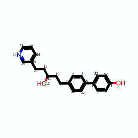 Oc1ccc(-c2ccc(CCC(O)CCc3cccnc3)cc2)cc1